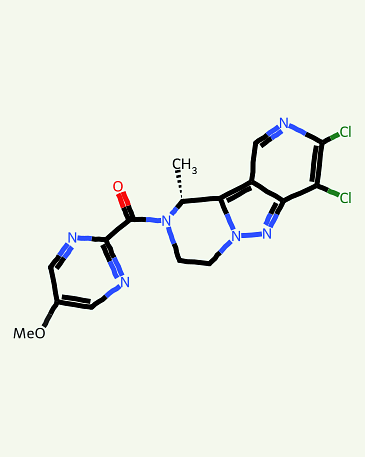 COc1cnc(C(=O)N2CCn3nc4c(Cl)c(Cl)ncc4c3[C@H]2C)nc1